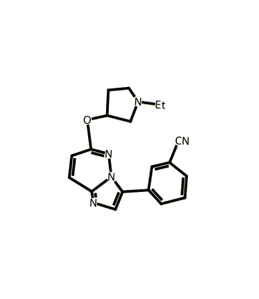 CCN1CCC(Oc2ccc3ncc(-c4cccc(C#N)c4)n3n2)C1